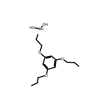 CCCOc1cc(OCCC)cc(OCCC)c1.OBO